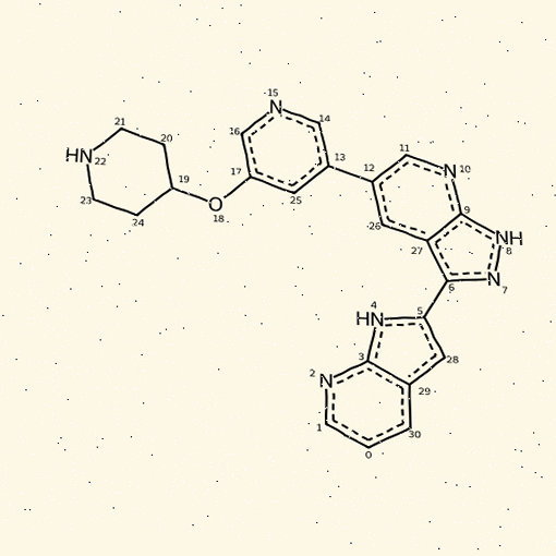 c1cnc2[nH]c(-c3n[nH]c4ncc(-c5cncc(OC6CCNCC6)c5)cc34)cc2c1